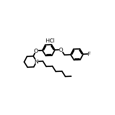 CCCCCCCN1CCCCC1Oc1ccc(OCc2ccc(F)cc2)cc1.Cl